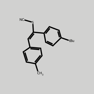 Cc1ccc(/C=C(/SC#N)c2ccc(C(C)(C)C)cc2)cc1